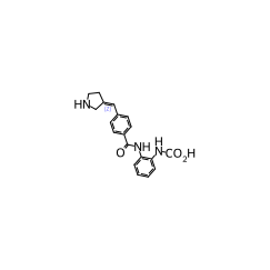 O=C(O)Nc1ccccc1NC(=O)c1ccc(/C=C2/CCNC2)cc1